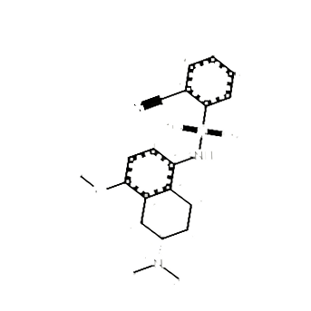 COc1ccc(NS(=O)(=O)c2ccccc2C#N)c2c1C[C@@H](N(C)C)CC2